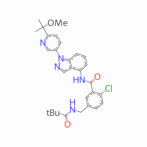 COC(C)(C)c1ccc(-n2ncc3c(NC(=O)c4cc(CNC(=O)C(C)(C)C)ccc4Cl)cccc32)cn1